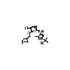 Cc1nn(C(C)(C)C#N)cc1Nc1ncc(Cl)c(OCC2CN(C)C2)n1